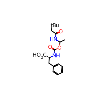 CC(NC(=O)CC(C)(C)C)OC(=O)N[C@@H](Cc1ccccc1)C(=O)O